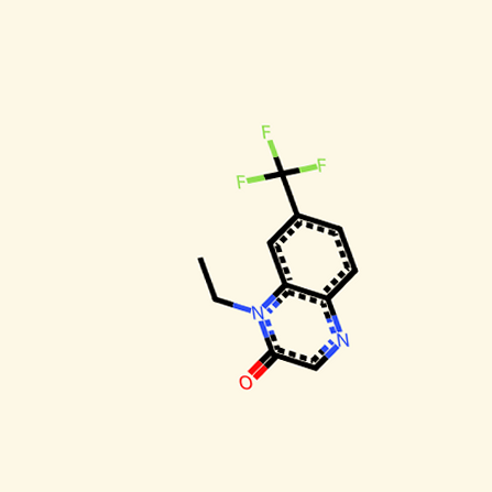 CCn1c(=O)cnc2ccc(C(F)(F)F)cc21